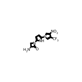 N[C@H]1CN(c2ccc(-n3cc([N+](=O)[O-])c(C(F)(F)F)c3)[nH]2)C1=O